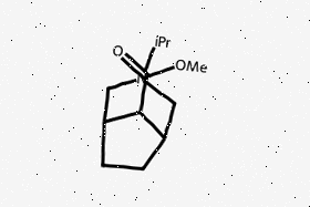 COC(=O)C1C2CCC1CN(C(C)C)C2